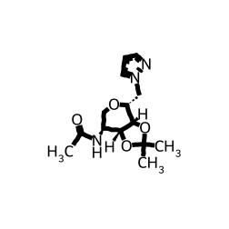 CC(=O)N[C@H]1CO[C@H](Cn2cccn2)[C@@H]2OC(C)(C)O[C@@H]21